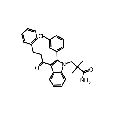 CC(C)(Cn1c(-c2cccc(Cl)c2)c(C(=O)CCc2ccccc2)c2ccccc21)C(N)=O